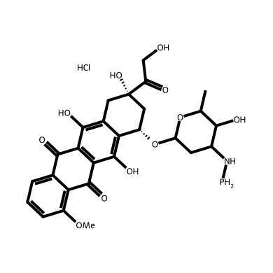 COc1cccc2c1C(=O)c1c(O)c3c(c(O)c1C2=O)C[C@@](O)(C(=O)CO)C[C@@H]3OC1CC(NP)C(O)C(C)O1.Cl